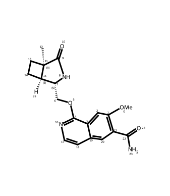 COc1cc2c(OC[C@H]3NC(=O)[C@]4(C)CC[C@H]34)nccc2cc1C(N)=O